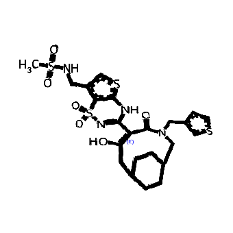 CS(=O)(=O)NCc1csc2c1S(=O)(=O)N=C(/C1=C(\O)CC3CCC(CC3)CN(Cc3ccsc3)C1=O)N2